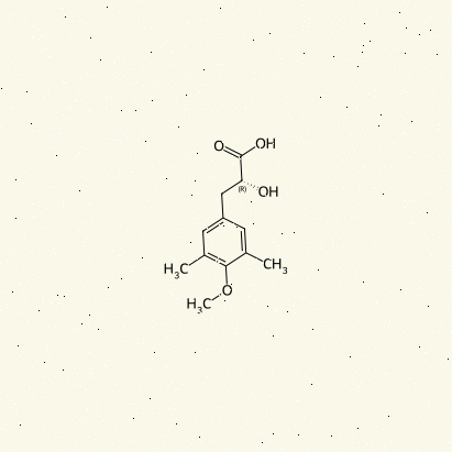 COc1c(C)cc(C[C@@H](O)C(=O)O)cc1C